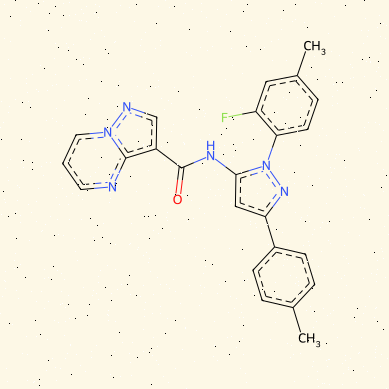 Cc1ccc(-c2cc(NC(=O)c3cnn4cccnc34)n(-c3ccc(C)cc3F)n2)cc1